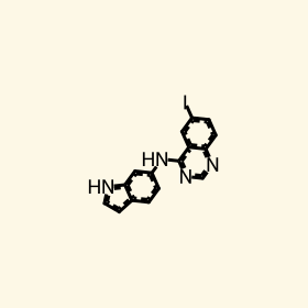 Ic1ccc2ncnc(Nc3ccc4cc[nH]c4c3)c2c1